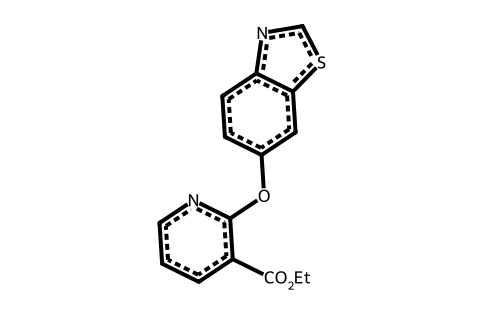 CCOC(=O)c1cccnc1Oc1ccc2ncsc2c1